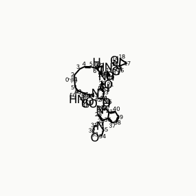 C[C@@H]1CCC=C[C@@H]2C[C@@]2(C(=O)NS(=O)(=O)C2(C)CC2)NC(=O)[C@@H]2C[C@@H](Oc3ncc(N4CCOCC4)c4ccccc34)CN2C(=O)[C@@H](NC(=O)O)[C@H](C)C1